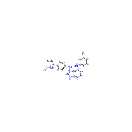 CNC(NC=S)c1ccc(Nc2n[nH]c3ncnc(Nc4cccc(Cl)c4)c23)cc1